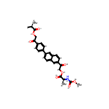 C[C@H](C(=O)OCC(=O)c1ccc(-c2ccc3cc(C(=O)COC(=O)[C@@H](NC(=O)OC(C)(C)C)C(C)(C)C)ccc3c2)cc1)C(C)(C)C